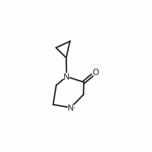 O=C1C[N]CCN1C1CC1